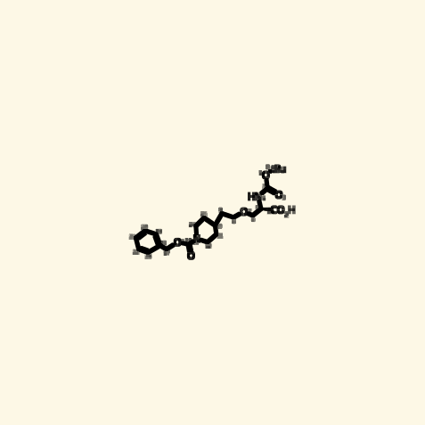 CC(C)(C)OC(=O)N[C@H](COCCC1CCN(C(=O)OCc2ccccc2)CC1)C(=O)O